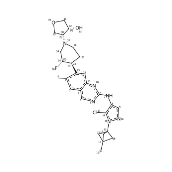 Cc1cc2cnc(Nc3cnn(C45CC(F)(C4)C5)c3Cl)nc2cc1[C@@H]1CCN([C@@H]2COC[C@@H]2O)C[C@H]1F